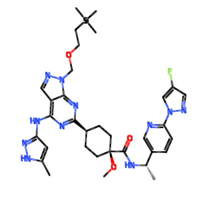 CO[C@]1(C(=O)N[C@@H](C)c2ccc(-n3cc(F)cn3)nc2)CC[C@H](c2nc(Nc3cc(C)[nH]n3)c3cnn(COCC[Si](C)(C)C)c3n2)CC1